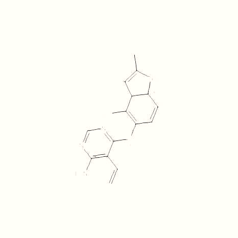 C=Cc1c(N)ncnc1OC1=C(F)C2C=C(C)NC2C=C1